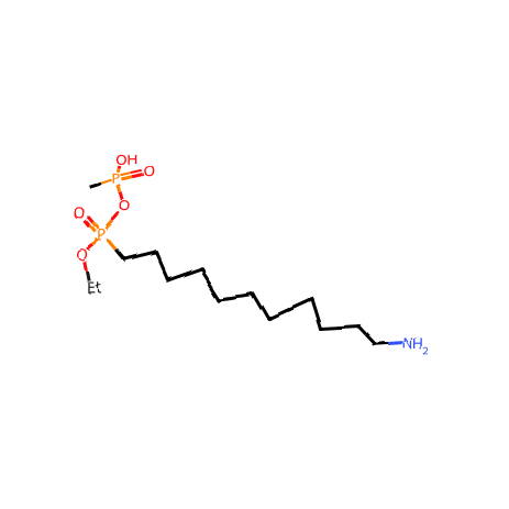 CCOP(=O)(CCCCCCCCCCCN)OP(C)(=O)O